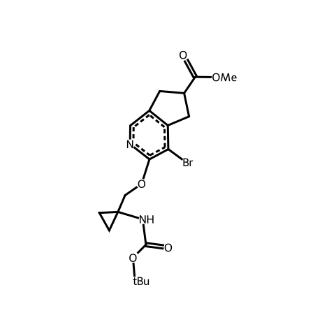 COC(=O)C1Cc2cnc(OCC3(NC(=O)OC(C)(C)C)CC3)c(Br)c2C1